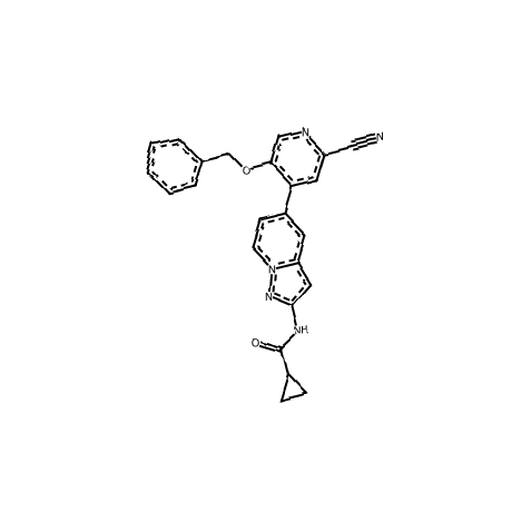 N#Cc1cc(-c2ccn3nc(NC(=O)C4CC4)cc3c2)c(OCc2ccccc2)cn1